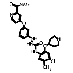 CNC(=O)c1cc(Oc2cccc(NNC(=O)Nc3cc(C)c(Cl)cc3OC3CCNCC3)c2)ccn1